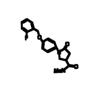 CNC(=O)C1CC(=O)N(c2ccc(OCc3ccccc3F)cc2)C1